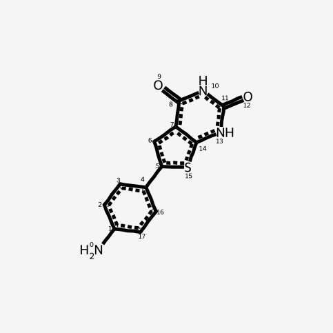 Nc1ccc(-c2cc3c(=O)[nH]c(=O)[nH]c3s2)cc1